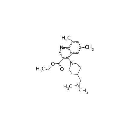 CCOC(=O)c1cnc2c(C)cc(C)cc2c1N1CCC(CN(C)C)CC1